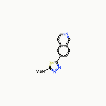 CNc1nnc(-c2ccc3cnccc3c2)s1